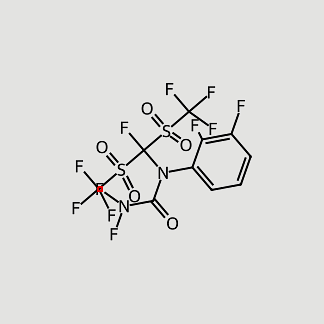 O=C(N(F)F)N(c1cccc(F)c1F)C(F)(S(=O)(=O)C(F)(F)F)S(=O)(=O)C(F)(F)F